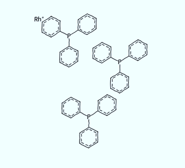 [Rh+].c1ccc(P(c2ccccc2)c2ccccc2)cc1.c1ccc(P(c2ccccc2)c2ccccc2)cc1.c1ccc(P(c2ccccc2)c2ccccc2)cc1